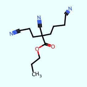 CCCOC(=O)C(C#N)(CCC#N)CCCC#N